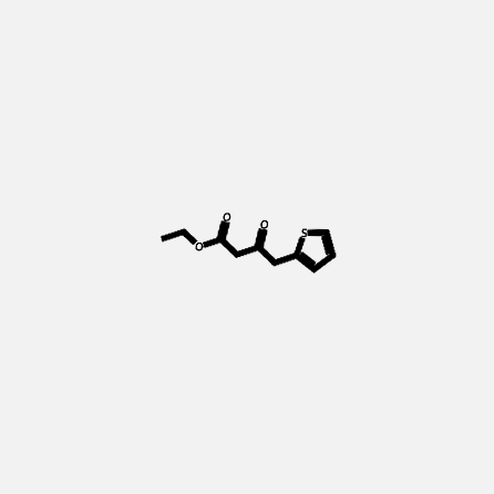 CCOC(=O)CC(=O)Cc1cccs1